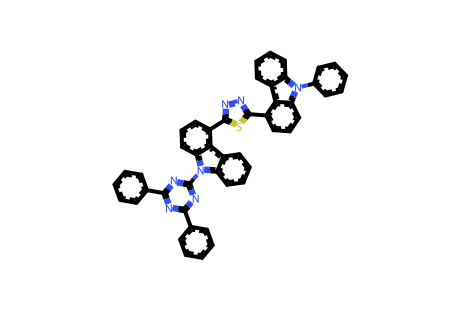 c1ccc(-c2nc(-c3ccccc3)nc(-n3c4ccccc4c4c(-c5nnc(-c6cccc7c6c6ccccc6n7-c6ccccc6)s5)cccc43)n2)cc1